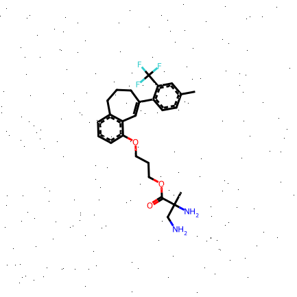 Cc1ccc(C2=Cc3c(cccc3OCCCOC(=O)C(C)(N)CN)CCC2)c(C(F)(F)F)c1